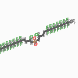 O=S(=O)(CC(Cl)CCC(F)(F)C(F)(F)C(F)(F)C(F)(F)C(F)(F)C(F)(F)C(F)(F)C(F)(F)F)CC(Cl)CCC(F)(F)C(F)(F)C(F)(F)C(F)(F)C(F)(F)C(F)(F)C(F)(F)C(F)(F)F